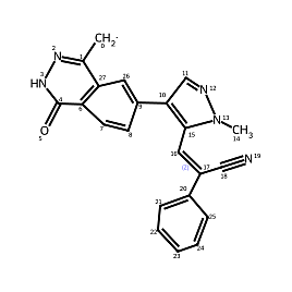 [CH2]c1n[nH]c(=O)c2ccc(-c3cnn(C)c3/C=C(\C#N)c3ccccc3)cc12